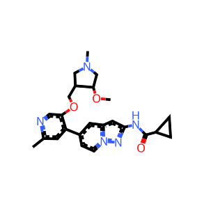 COC1CN(C)CC1COc1cnc(C)cc1-c1ccn2nc(NC(=O)C3CC3)cc2c1